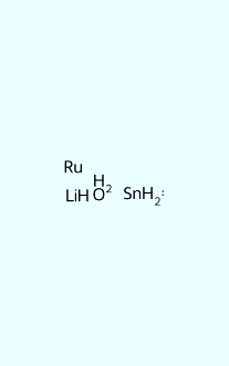 O.[LiH].[Ru].[SnH2]